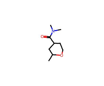 CC1CC(C(=O)N(C)C)CCO1